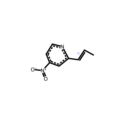 C/C=C/c1cc([N+](=O)[O-])ccn1